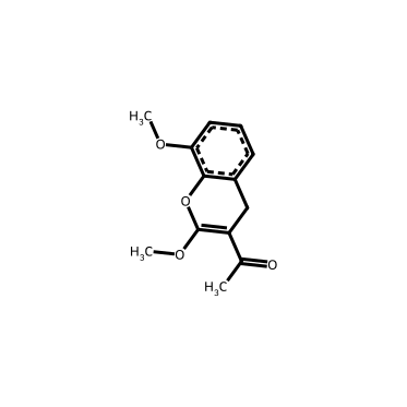 COC1=C(C(C)=O)Cc2cccc(OC)c2O1